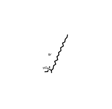 CCCCCCCCCCCCCCCCC(C)[N+](C)(O)CC.[Br-]